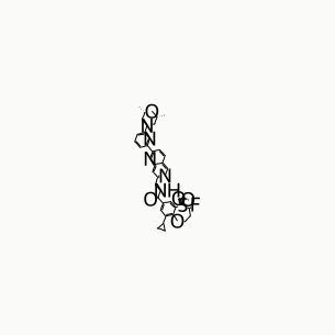 C[C@@H]1CN(c2cccc(-c3ccc4cnc(CNC(=O)c5cc(C6CC6)c6c(c5)S(=O)(=O)[C@@H](F)CCO6)cc4n3)n2)C[C@H](C)O1